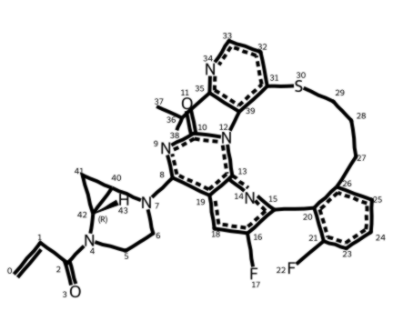 C=CC(=O)N1CCN(c2nc(=O)n3c4nc(c(F)cc24)-c2c(F)cccc2CCCSc2ccnc(C(C)C)c2-3)C2C[C@H]21